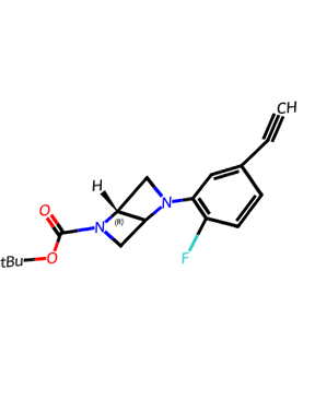 C#Cc1ccc(F)c(N2C[C@@H]3C2CN3C(=O)OC(C)(C)C)c1